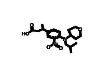 CC(C)CN(c1ccc(C(C)CC(=O)O)cc1[N+](=O)[O-])C1CCOCC1